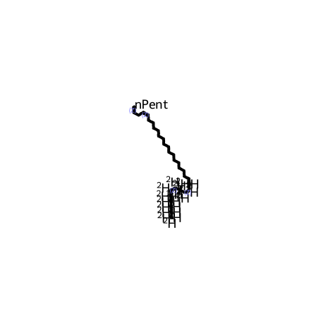 [2H]/C(=C(\[2H])C([2H])([2H])/C([2H])=C(/[2H])C([2H])([2H])C([2H])([2H])C([2H])([2H])C([2H])([2H])C([2H])([2H])[2H])C([2H])([2H])CCCCCCCCCCCCCCCC/C=C\C/C=C\CCCCC